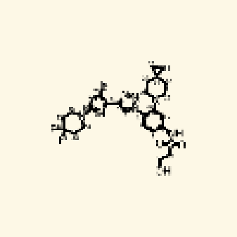 O=S(=O)(CCO)Nc1ccc(-n2cc(-c3nc(N4CCC(F)(F)CC4)sc3F)nn2)c(N2CCC3(CC2)CC3)c1